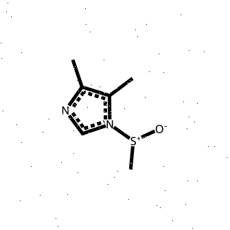 Cc1ncn([S+](C)[O-])c1C